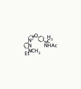 CCN(C)c1cccc(N2CC[C@@H](Oc3ccc([C@H](C)NC(C)=O)cc3)C2)n1